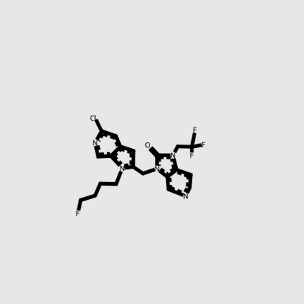 O=c1n(Cc2cc3cc(Cl)ncc3n2CCCCF)c2cnccc2n1CC(F)(F)F